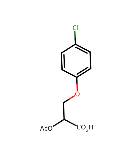 CC(=O)OC(COc1ccc(Cl)cc1)C(=O)O